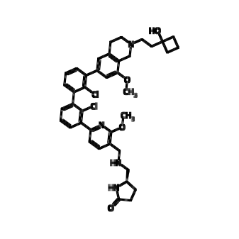 COc1cc(-c2cccc(-c3cccc(-c4ccc(CNC[C@H]5CCC(=O)N5)c(OC)n4)c3Cl)c2Cl)cc2c1CN(CCC1(O)CCC1)CC2